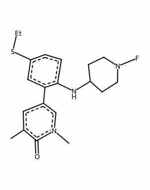 CCSc1ccc(NC2CCN(F)CC2)c(-c2cc(C)c(=O)n(C)c2)c1